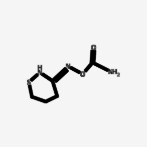 NC(=O)ON=C1CCCSN1